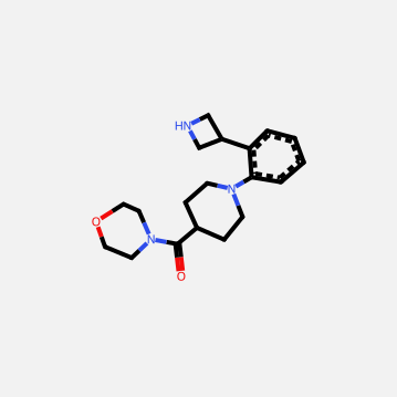 O=C(C1CCN(c2ccccc2C2CNC2)CC1)N1CCOCC1